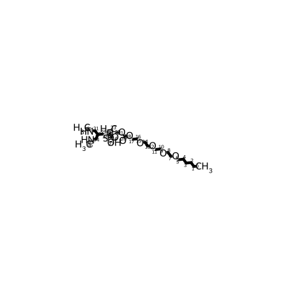 CCCCCCOCCOCCOCCOCCOC(=O)OC(C)OP(=O)(O)SCC(CNC)CNC